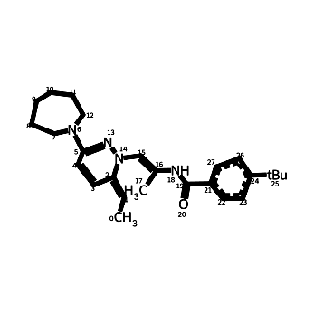 CC=C1C=CC(N2CCCCCC2)=NN1/C=C(\C)NC(=O)c1ccc(C(C)(C)C)cc1